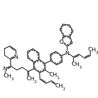 C=C/C=C\c1c(C)c(-c2ccc(N(/C(C)=C/C=C\C)c3cc4ccccc4o3)cc2)c2ccccc2c1C(=C)CC/C(=N\C)C1=NC=CCC1